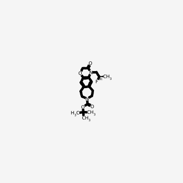 C[C@@H](F)CN1C(=O)COc2cc3c(cc21)CCN(C(=O)OC(C)(C)C)CC3